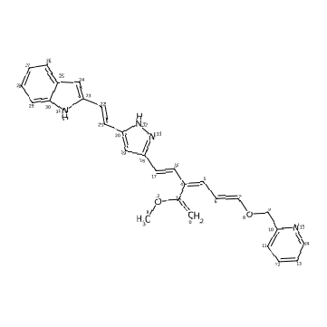 C=C(OC)C(=C\C=C\OCc1ccccn1)/C=C/c1cc(/C=C/c2cc3ccccc3[nH]2)[nH]n1